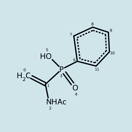 C=C(NC(C)=O)P(=O)(O)c1ccccc1